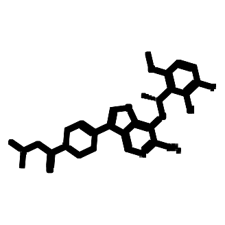 COc1ccc(F)c(Cl)c1[C@@H](C)Oc1c(N)ncc2c(C3=CCN(C(=O)CN(C)C)CC3)coc12